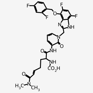 CN(C)C(=O)/C=C/CCC(NC(=O)O)C(=O)Nc1cccn(Cc2nc3c(OCc4ccc(F)cc4F)c(F)cc(F)c3[nH]2)c1=O